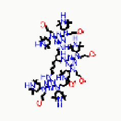 COCCCN(c1nc(NCCCCC(CCCNc2nc(N(CCCOC)C3CC(C)(C)NC(C)(C)C3)nc(N(CCCOC)C3CC(C)(C)NC(C)(C)C3)n2)CNc2nc(N(CCCOC)C3CC(C)(C)NC(C)(C)C3)nc(N(CCCOC)C3CC(C)(C)NC(C)(C)C3)n2)nc(N(CCCOC)C2CC(C)(C)NC(C)(C)C2)n1)C1CC(C)(C)NC(C)(C)C1